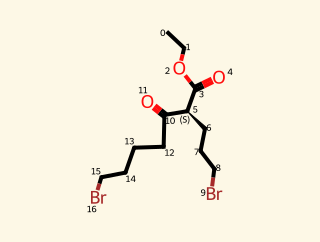 CCOC(=O)[C@@H](CCCBr)C(=O)CCCCBr